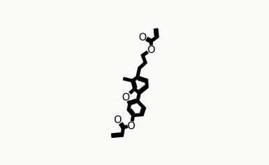 C=CC(=O)OCCCc1ccc2c(oc3cc(OC(=O)C=C)ccc32)c1C